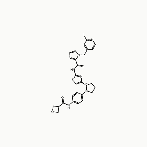 O=C(Nc1nc([C@H]2CCCN2c2ccc(NC(=O)C3COC3)cc2)cs1)c1cccn1Cc1ccnc(F)c1